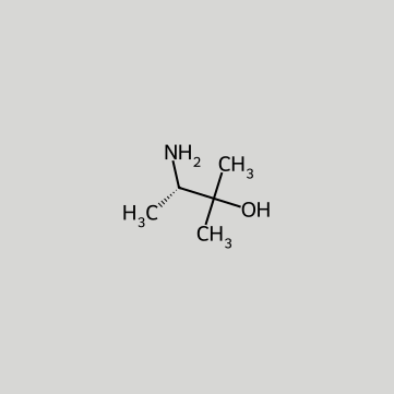 C[C@H](N)C(C)(C)O